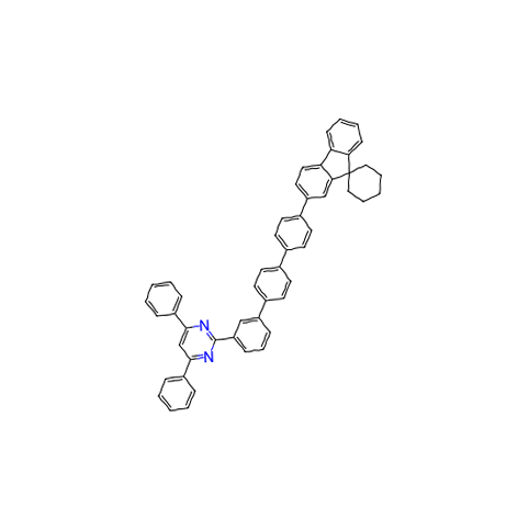 c1ccc(-c2cc(-c3ccccc3)nc(-c3cccc(-c4ccc(-c5ccc(-c6ccc7c(c6)C6(CCCCC6)c6ccccc6-7)cc5)cc4)c3)n2)cc1